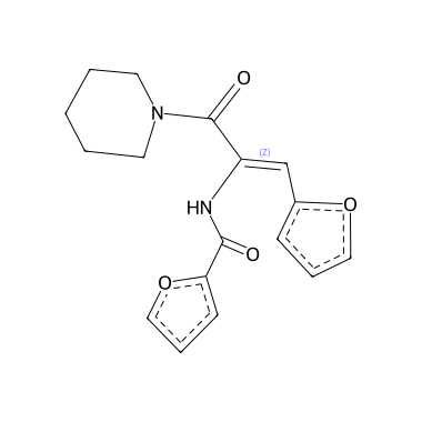 O=C(N/C(=C\c1ccco1)C(=O)N1CCCCC1)c1ccco1